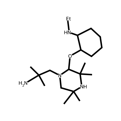 CCNC1CCCCC1OC1N(CC(C)(C)N)CC(C)(C)NC1(C)C